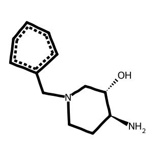 N[C@H]1CCN(Cc2ccccc2)C[C@@H]1O